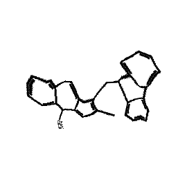 CC1=C(CC2c3ccccc3-c3ccccc32)C2=Cc3ccccc3C(Br)C2=C1